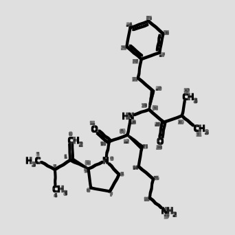 C=C(C(C)C)[C@@H]1CCCN1C(=O)[C@H](CCCCN)N[C@@H](CCc1ccccc1)C(=O)C(C)C